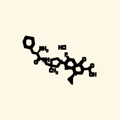 C[C@]1(CNC(=O)[C@@H](N)Cc2ccccc2)CCN(c2nc3c(cc2F)c(=O)c(C(=O)O)cn3C2CC2)C1.Cl